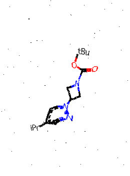 CC(C)c1cnn(C2CN(C(=O)OC(C)(C)C)C2)c1